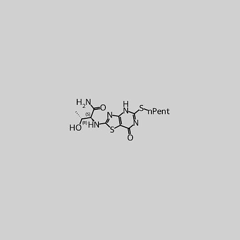 CCCCCSc1nc(=O)c2sc(N[C@H](C(N)=O)[C@@H](C)O)nc2[nH]1